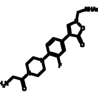 CC(=O)NCn1cc(-c2ccc(N3CCN(C(=O)CN)CC3)c(F)c2)c(=O)o1